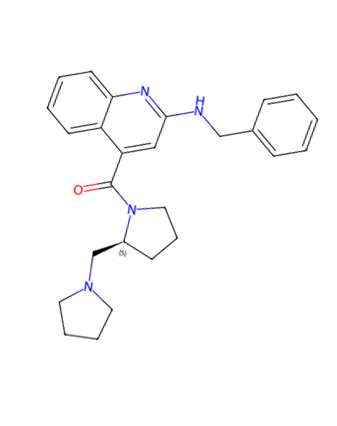 O=C(c1cc(NCc2ccccc2)nc2ccccc12)N1CCC[C@H]1CN1CCCC1